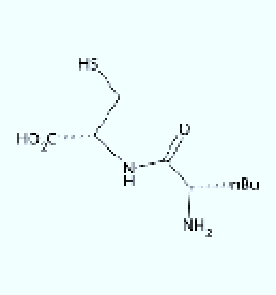 CCCC[C@H](N)C(=O)N[C@@H](CS)C(=O)O